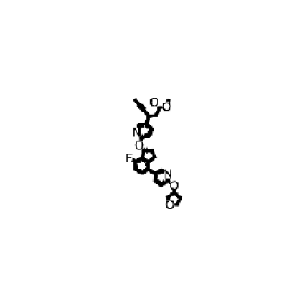 CC#CC(CC(=O)OC)c1ccc(O[C@@H]2CCc3c(-c4ccc(OC5CCOC5)nc4)ccc(F)c32)nc1